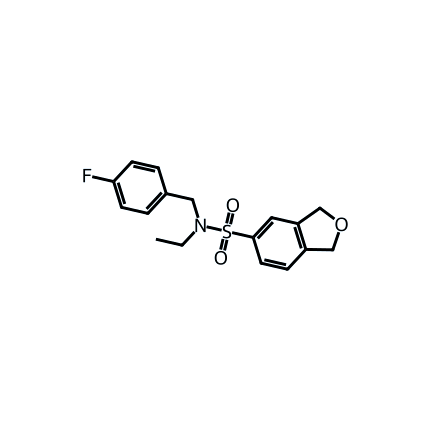 CCN(Cc1ccc(F)cc1)S(=O)(=O)c1ccc2c(c1)COC2